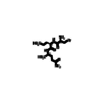 CC(C)C[C@H](N)C(=O)N[C@@H](CCC(=O)O)C(=O)N[C@@H](CCC(N)=O)C(=O)O